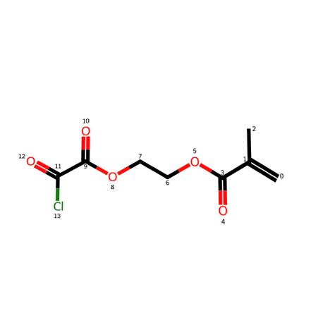 C=C(C)C(=O)OCCOC(=O)C(=O)Cl